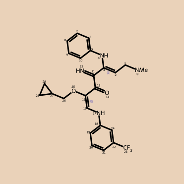 CNC/C=C(\Nc1ccccc1)C(=N)C(=O)/C(=C\Nc1cccc(C(F)(F)F)c1)OCC1CC1